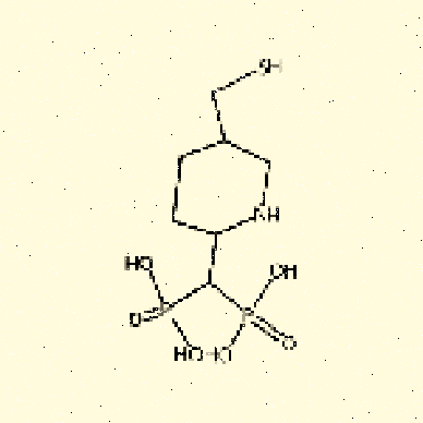 O=P(O)(O)C(C1CCC(CS)CN1)P(=O)(O)O